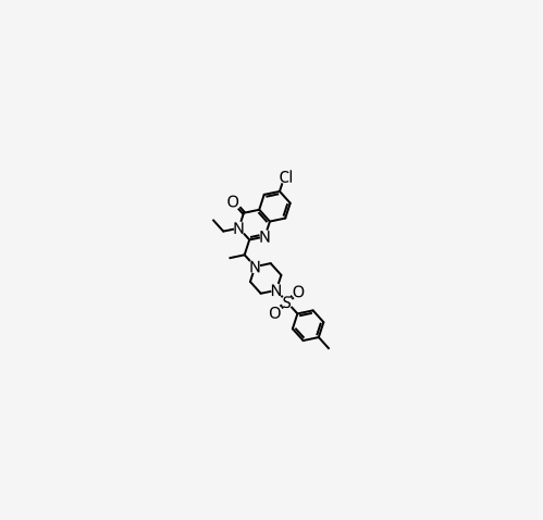 CCn1c(C(C)N2CCN(S(=O)(=O)c3ccc(C)cc3)CC2)nc2ccc(Cl)cc2c1=O